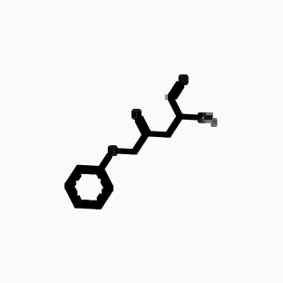 CC([C]=O)CC(=O)COc1ccccc1